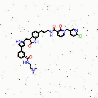 CN(C)CCNC(=O)c1cccc(-c2c[nH]c(C=C3C(=O)Nc4cc(C=CCNC(=O)c5cccn(Cc6ccc(Cl)nc6)c5=O)ccc43)c2)c1